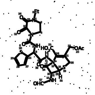 CCN1CCN(C(=O)NC(C(=O)N[N+]23C(=O)[C@H](NC=O)[C@H]2SCC(COC(C)=O)=C3C(=O)O)c2cccs2)C(=O)C1=O